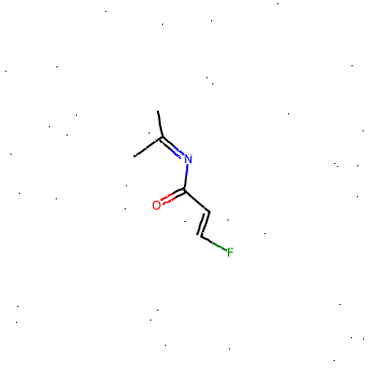 CC(C)=NC(=O)/C=C/F